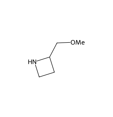 COCC1CCN1